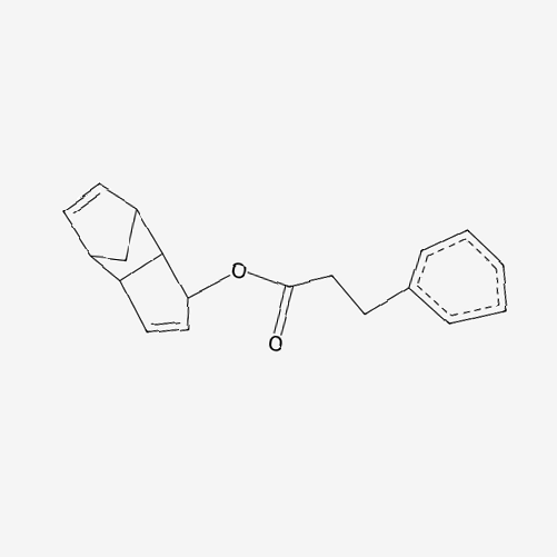 O=C(CCc1ccccc1)OC1C=CC2C3C=CC(C3)C12